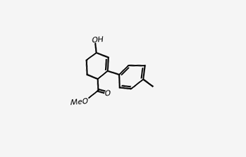 COC(=O)C1CCC(O)C=C1c1ccc(C)cc1